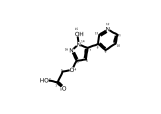 O=C(O)COc1cc(-c2cccnc2)n(O)n1